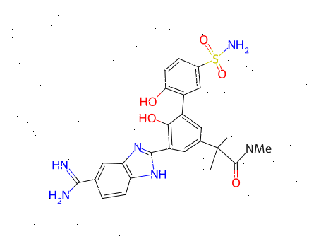 CNC(=O)C(C)(C)c1cc(-c2nc3cc(C(=N)N)ccc3[nH]2)c(O)c(-c2cc(S(N)(=O)=O)ccc2O)c1